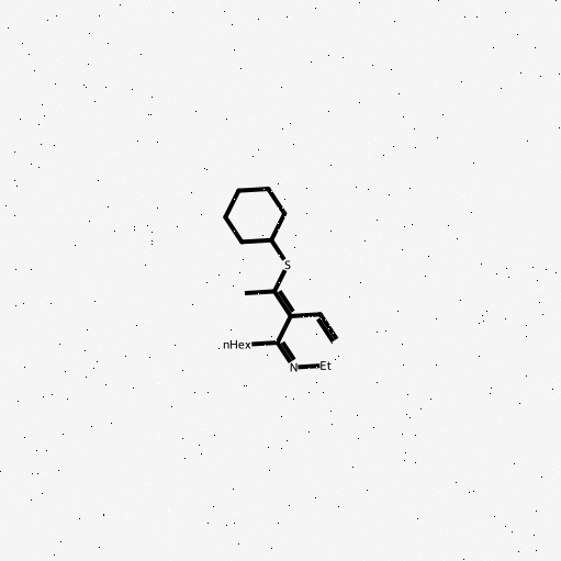 C=CC(/C(CCCCCC)=N\CC)=C(/C)SC1CCCCC1